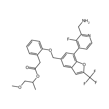 COCC(C)OC(=O)Cc1ccccc1OCc1cc(-c2ccnc(CN)c2F)c2oc(C(F)(F)F)cc2c1